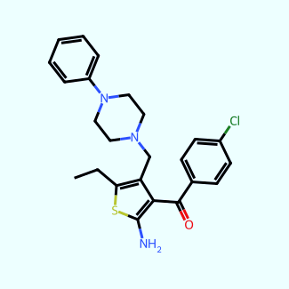 CCc1sc(N)c(C(=O)c2ccc(Cl)cc2)c1CN1CCN(c2ccccc2)CC1